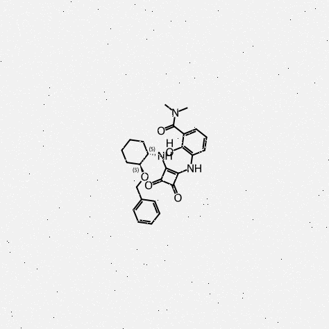 CN(C)C(=O)c1cccc(Nc2c(N[C@H]3CCCC[C@@H]3OCc3ccccc3)c(=O)c2=O)c1O